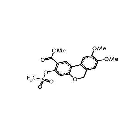 COC(=O)c1cc2c(cc1OS(=O)(=O)C(F)(F)F)OCc1cc(OC)c(OC)cc1-2